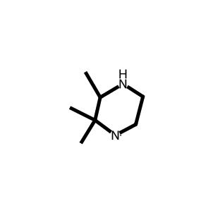 CC1NCC[N]C1(C)C